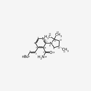 CCCC/C=C/c1ccnc(N2C[C@@H](C)CC2(C)C)c1C(N)=O